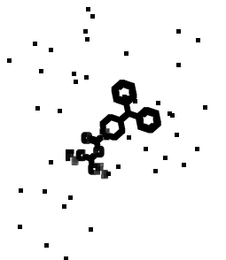 O=C(OC(C(F)(F)F)C(F)(F)F)N1CCC(C(c2ccccc2)c2ccccc2)CC1